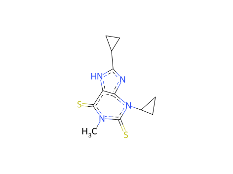 Cn1c(=S)c2[nH]c(C3CC3)nc2n(C2CC2)c1=S